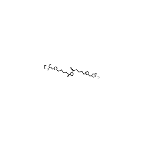 C=C(CCCCOCC(F)(F)F)OC(=C)CCCCOCC(F)(F)F